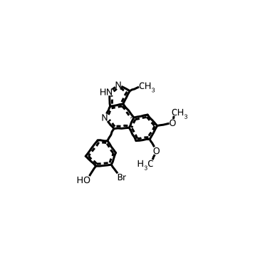 COc1cc2c(-c3ccc(O)c(Br)c3)nc3[nH]nc(C)c3c2cc1OC